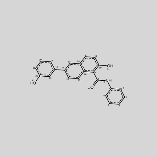 O=C(Nc1ccccn1)c1c(O)ccc2cc(-c3cccc(O)c3)ccc12